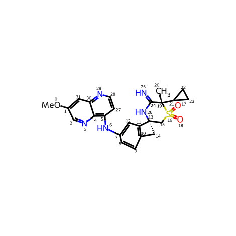 COc1cnc2c(Nc3ccc4c(c3)[C@]3(C4)CS(=O)(=O)[C@@](C)(C4CC4)C(=N)N3)ccnc2c1